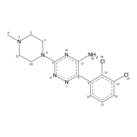 CN1CCN(c2nnc(-c3cccc(Cl)c3Cl)c(N)n2)CC1